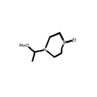 CCN1CCN(C(C)OC)CC1